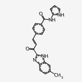 Cc1ccc2nc(C(=O)C=Cc3ccc(C(=O)Nc4ccc[nH]4)cc3)[nH]c2c1